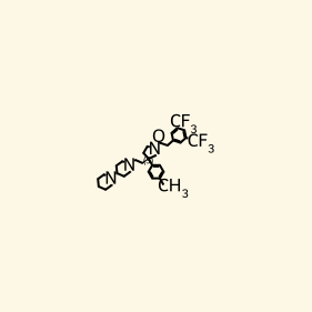 Cc1ccc([C@]2(CCN3CCC(N4CCCCC4)CC3)CCN(C(=O)Cc3cc(C(F)(F)F)cc(C(F)(F)F)c3)C2)cc1